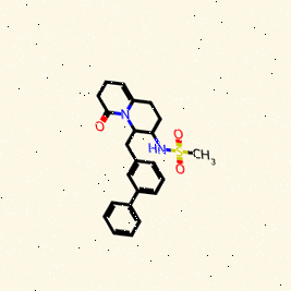 CS(=O)(=O)NC1CCC2=CCCC(=O)N2C1Cc1cccc(-c2ccccc2)c1